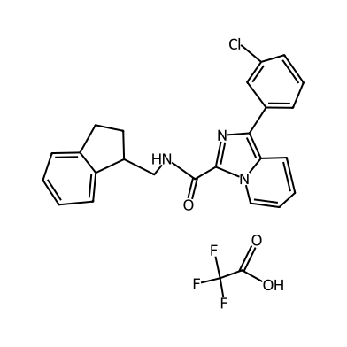 O=C(NCC1CCc2ccccc21)c1nc(-c2cccc(Cl)c2)c2ccccn12.O=C(O)C(F)(F)F